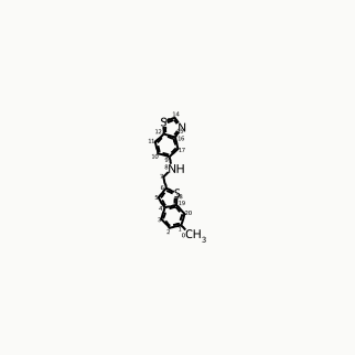 Cc1ccc2cc(CNc3ccc4scnc4c3)sc2c1